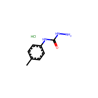 Cc1ccc(NC(=O)NN)cc1.Cl